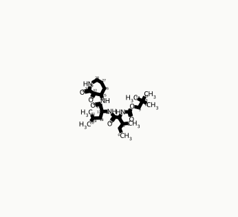 CCC(C)C(NC(=O)OCC(C)(C)C)C(=O)NC(CC(C)C)C(=O)NC1CCCNC(=O)C1=O